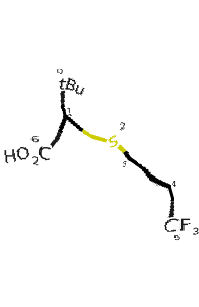 CC(C)(C)C(SCCC(F)(F)F)C(=O)O